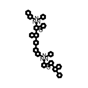 c1ccc(-c2nc(-c3ccc4ccc(-c5ccc(-c6ccc(-c7ccc(-c8nc(-c9ccccc9)nc(-c9ccc%10ccccc%10c9)n8)c8c7oc7ccccc78)c7ccccc67)cc5)cc4c3)nc(-c3cccc4oc5c(-c6ccc(-c7ccccc7)c7ccccc67)cccc5c34)n2)cc1